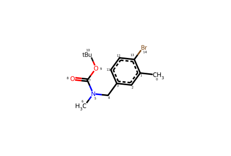 Cc1cc(CN(C)C(=O)OC(C)(C)C)ccc1Br